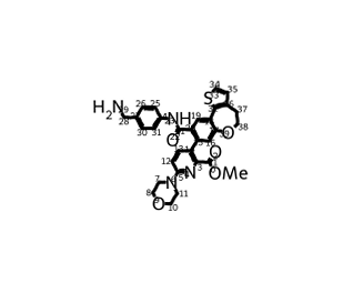 COC(=O)c1nc(N2CCOCC2)ccc1-c1cc2c(cc1C(=O)Nc1ccc(CN)cc1)-c1sccc1CCO2